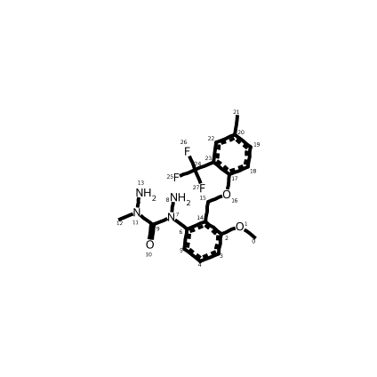 COc1cccc(N(N)C(=O)N(C)N)c1COc1ccc(C)cc1C(F)(F)F